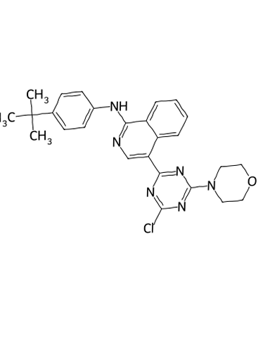 CC(C)(C)c1ccc(Nc2ncc(-c3nc(Cl)nc(N4CCOCC4)n3)c3ccccc23)cc1